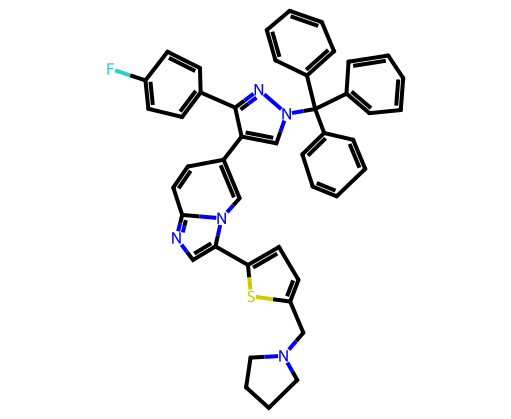 Fc1ccc(-c2nn(C(c3ccccc3)(c3ccccc3)c3ccccc3)cc2-c2ccc3ncc(-c4ccc(CN5CCCC5)s4)n3c2)cc1